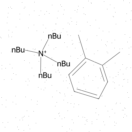 CCCC[N+](CCCC)(CCCC)CCCC.Cc1ccccc1C